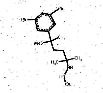 CSC(C)(CCC(C)(C)NNC(C)(C)C)c1cc(C(C)(C)C)cc(C(C)(C)C)c1